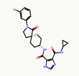 O=C(NC1CC1)c1nc[nH]c1C(=O)N[C@H]1CC[C@@]2(CCN(c3cccc(Cl)c3)C2=O)CC1